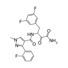 Cn1cc(C(=O)NC(Cc2cc(F)cc(F)c2)C(=O)C(N)=O)c(-c2ccccc2F)n1